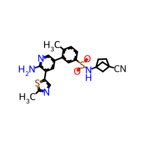 Cc1ncc(-c2cc(-c3cc(S(=O)(=O)NC45CCC(C#N)(C4)C5)ccc3C)cnc2N)s1